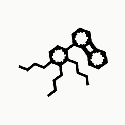 CCCCc1ccc(-c2cccc3c2=c2ccccc2=3)c(CCCC)c1CCCC